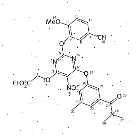 CCOC(=O)COc1nc(Oc2cc(C#N)ccc2OC)nc(Oc2cc(C)cc(C(=O)N(C)C)c2)c1[N+](=O)[O-]